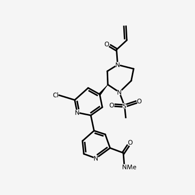 C=CC(=O)N1CCN(S(C)(=O)=O)[C@@H](c2cc(Cl)nc(-c3ccnc(C(=O)NC)c3)c2)C1